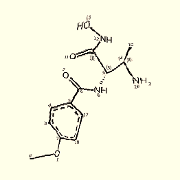 COc1ccc(C(=O)N[C@H](C(=O)NO)[C@@H](C)N)cc1